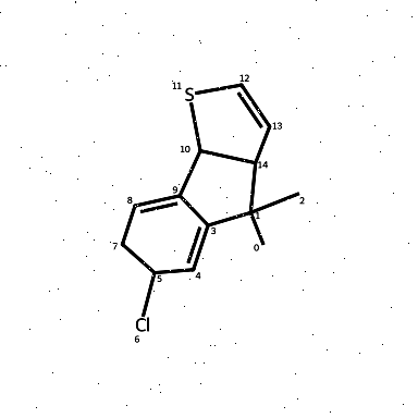 CC1(C)C2=CC(Cl)CC=C2C2SC=CC21